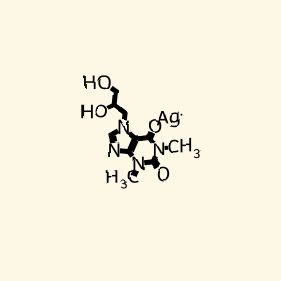 Cn1c(=O)c2c(ncn2CC(O)CO)n(C)c1=O.[Ag]